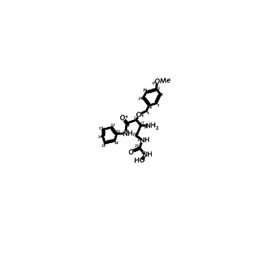 COc1ccc(COC(C(=O)Nc2ccccc2)C(N)CNC(=O)NO)cc1